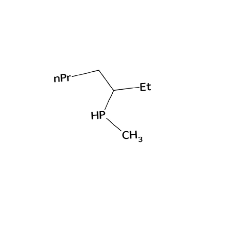 CCCCC(CC)PC